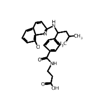 CC(C)CC(Nc1ccc2cccc(Cl)c2n1)c1ccc(C(=O)NCCC(=O)O)cc1